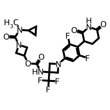 CN(C(=O)N1CC(OC(=O)NC2(C(F)(F)F)CN(c3cc(F)c(C4CCC(=O)NC4=O)c(F)c3)C2)C1)C1CC1